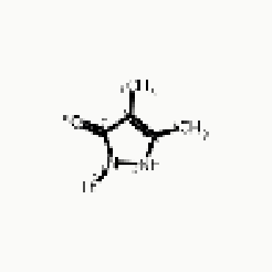 CCn1[nH]c(C)c(C)c1=O